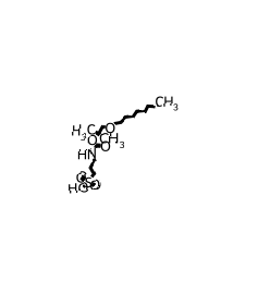 CCCCCCCCCOCC(C)(C)OC(=O)NCCCS(=O)(=O)O